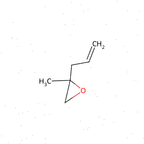 C=CCC1(C)CO1